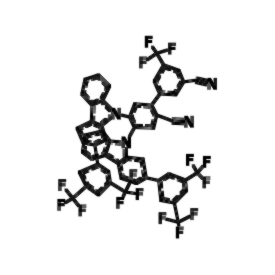 N#Cc1cc(-c2cc(-n3c4ccccc4c4ccc(-c5cc(C(F)(F)F)cc(C(F)(F)F)c5)cc43)c(-n3c4ccccc4c4ccc(-c5cc(C(F)(F)F)cc(C(F)(F)F)c5)cc43)cc2C#N)cc(C(F)(F)F)c1